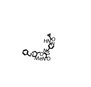 CNC(=O)c1sc(-c2ccnc(NC(=O)C3CC3)c2)nc1OCC1CCN(Cc2ccccc2)CC1